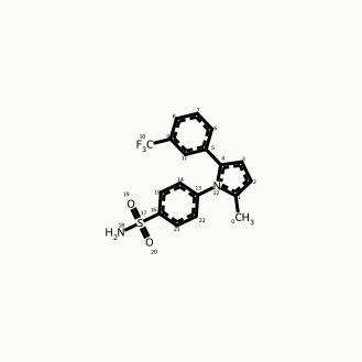 Cc1ccc(-c2cccc(C(F)(F)F)c2)n1-c1ccc(S(N)(=O)=O)cc1